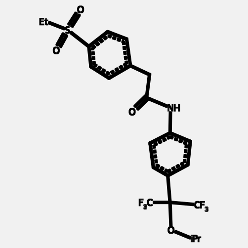 CCS(=O)(=O)c1ccc(CC(=O)Nc2ccc(C(OC(C)C)(C(F)(F)F)C(F)(F)F)cc2)cc1